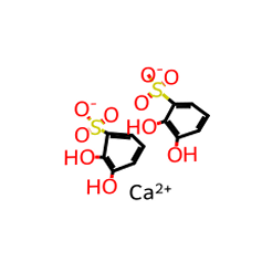 O=S(=O)([O-])c1cccc(O)c1O.O=S(=O)([O-])c1cccc(O)c1O.[Ca+2]